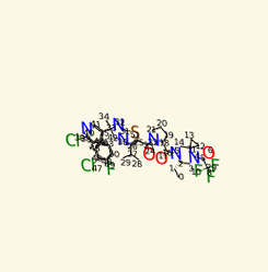 CC[C@H]1CN(C(=O)C(F)(F)F)C2(CC2)CN1C(=O)[C@@H]1CCCN1C(=O)C1=C(C(C)C)N2C(=N[C@@](C)(c3ccc(Cl)nc3)[C@H]2c2ccc(Cl)c(F)c2)S1